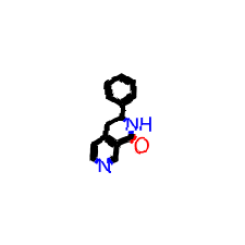 O=C1NC(c2ccccc2)Cc2ccncc21